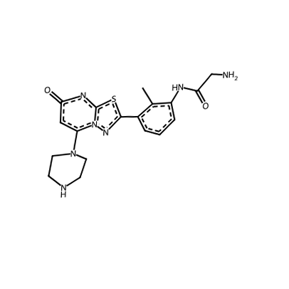 Cc1c(NC(=O)CN)cccc1-c1nn2c(N3CCNCC3)cc(=O)nc2s1